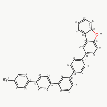 CC(C)c1ccc(-c2ccc(-c3cccc(-c4ccc(-c5ccc6oc7ccccc7c6c5)cc4)c3)cc2)cc1